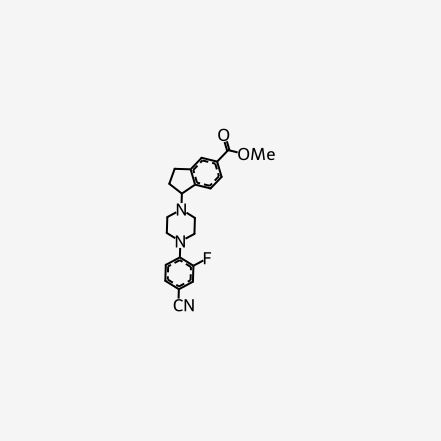 COC(=O)c1ccc2c(c1)CCC2N1CCN(c2ccc(C#N)cc2F)CC1